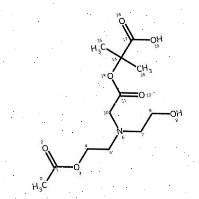 CC(=O)OCCN(CCO)CC(=O)OC(C)(C)C(=O)O